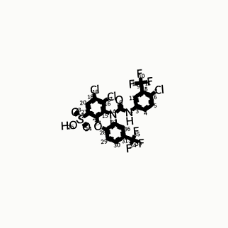 O=C(Nc1ccc(Cl)c(C(F)(F)F)c1)Nc1c(Cl)c(Cl)cc(S(=O)(=O)O)c1Oc1ccc(C(F)(F)F)cc1